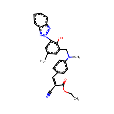 CCOC(=O)C(C#N)=Cc1ccc(N(C)Cc2cc(C)cc(-n3nc4ccccc4n3)c2O)cc1